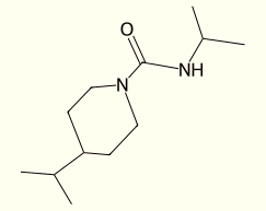 CC(C)NC(=O)N1CCC(C(C)C)CC1